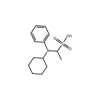 CC(N(c1ccccc1)C1CCCCC1)S(=O)(=O)O